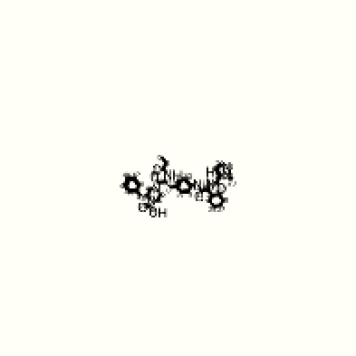 CCC(=O)N[C@H](Cc1ccc(NC(=O)[C@@H](NC(=O)c2ccnn2C)C2CCCCC2)cc1)C(=O)N1CCN(C(=O)O)[C@H](Cc2ccccc2)C1